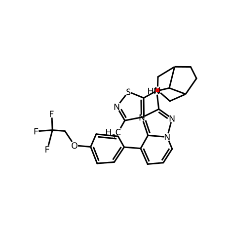 Cc1cc(N2CC3CCC(C2)C3Nc2nc3c(-c4ccc(OCC(F)(F)F)cc4)cccn3n2)sn1